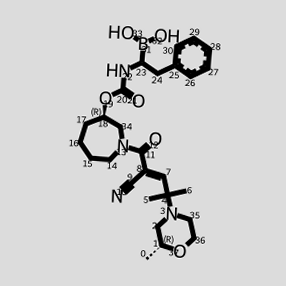 C[C@@H]1CN(C(C)(C)C=C(C#N)C(=O)N2CCCC[C@@H](OC(=O)NC(Cc3ccccc3)B(O)O)C2)CCO1